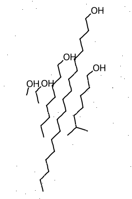 CC(C)CCCCCO.CCCCCCCCCCCCCCCCCCO.CCCCCCCCO.CCO.CO